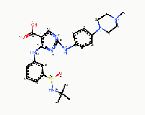 CN1CCN(c2ccc(Nc3ncc(C(=O)O)c(Nc4cccc([S+]([O-])NC(C)(C)C)c4)n3)cc2)CC1